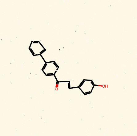 O=C(C=Cc1ccc(O)cc1)c1ccc(-c2ccccc2)cc1